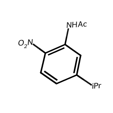 CC(=O)Nc1cc(C(C)C)ccc1[N+](=O)[O-]